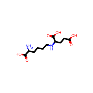 N[C@@H](CCCCNC(CCC(=O)O)C(=O)O)C(=O)O